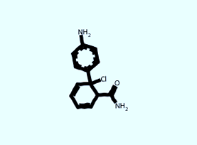 NC(=O)C1C=CC=CC1(Cl)c1ccc(N)cc1